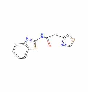 O=C(Cc1cs[c]n1)Nc1nc2ccccc2s1